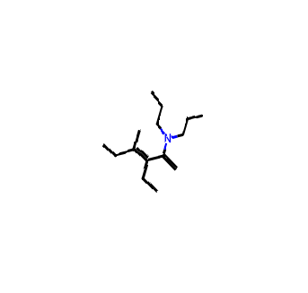 C=C(/C(CC)=C(\C)CC)N(CCC)CCC